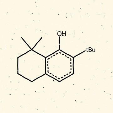 CC(C)(C)c1ccc2c(c1O)C(C)(C)CCC2